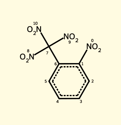 O=[N+]([O-])c1ccccc1C([N+](=O)[O-])([N+](=O)[O-])[N+](=O)[O-]